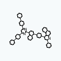 c1ccc(-c2ccc(-c3cc(-c4ccc(-c5ccccc5)cc4)nc(-c4ccc(-c5ccc(-c6cc(-c7ccccc7)nc7ccc8ccccc8c67)cc5)c5ccccc45)n3)cc2)cc1